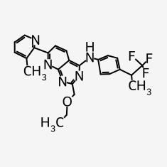 CCOCc1nc(Nc2ccc(C(C)C(F)(F)F)cc2)c2ccc(-c3ncccc3C)nc2n1